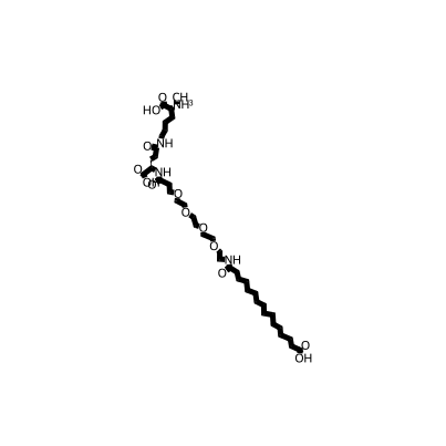 CNC(CCCCNC(=O)CC[C@H](NC(=O)CCOCCOCCOCCOCCNC(=O)CCCCCCCCCCCCCCC(=O)O)C(=O)O)C(=O)O